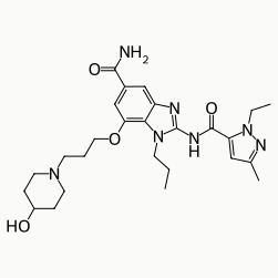 CCCn1c(NC(=O)c2cc(C)nn2CC)nc2cc(C(N)=O)cc(OCCCN3CCC(O)CC3)c21